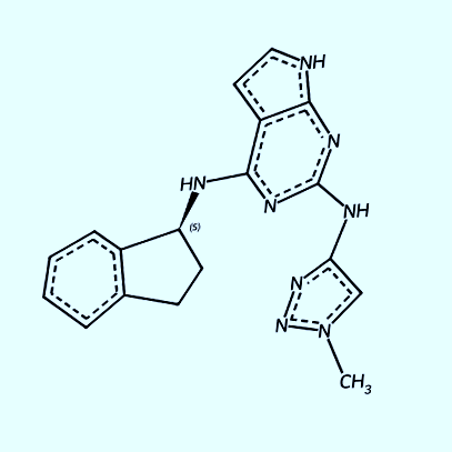 Cn1cc(Nc2nc(N[C@H]3CCc4ccccc43)c3cc[nH]c3n2)nn1